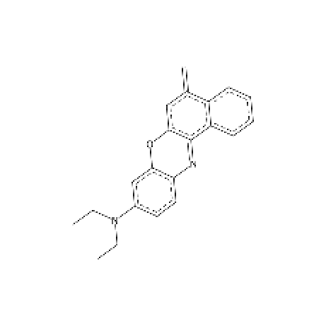 C=c1cc2c(c3ccccc13)=Nc1ccc(N(CC)CC)cc1O2